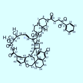 CO[C@@]1(CN2CCN3CCN(C(=O)CCS(=O)(=O)c4ccccc4)C[C@@H]3C2)/C=C/C[C@H](C)[C@@H](C)S(=O)(=O)NC(=O)c2ccc3c(c2)N(C[C@@H]2CC[C@H]21)C[C@@]1(CCCc2cc(Cl)ccc21)CO3